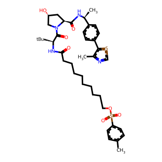 Cc1ccc(S(=O)(=O)OCCCCCCCCCC(=O)N[C@H](C(=O)N2C[C@H](O)C[C@H]2C(=O)N[C@@H](C)c2ccc(-c3scnc3C)cc2)C(C)(C)C)cc1